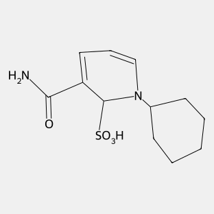 NC(=O)C1=CC=CN(C2CCCCC2)C1S(=O)(=O)O